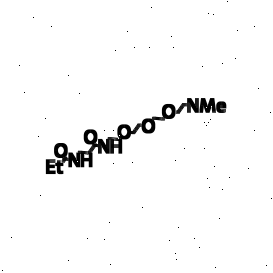 CCC(=O)NCCC(=O)NCCOCCOCCOCCNC